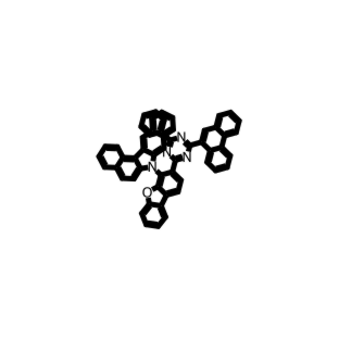 c1ccc(-c2nc(-c3ccc4c(oc5ccccc54)c3-n3c4cc5ccccc5cc4c4c5ccccc5ccc43)nc(-c3cc4ccccc4c4ccccc34)n2)cc1